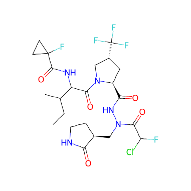 CCC(C)C(NC(=O)C1(F)CC1)C(=O)N1C[C@H](C(F)(F)F)C[C@H]1C(=O)NN(C[C@@H]1CCNC1=O)C(=O)C(F)Cl